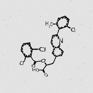 Cc1cccc(Cl)c1-c1ccc2cc(CC(OC(=O)c3c(Cl)cccc3Cl)C(=O)O)ccc2n1